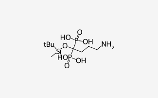 CC(C)(C)[Si](C)(C)OC(CCCN)(P(=O)(O)O)P(=O)(O)O